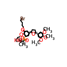 CCCOc1c(OCCCCBr)cc([C@H]2CC[C@H](c3cc(OC)c(OC)c(OC)c3)O2)cc1S(=O)(=O)CC(C)O